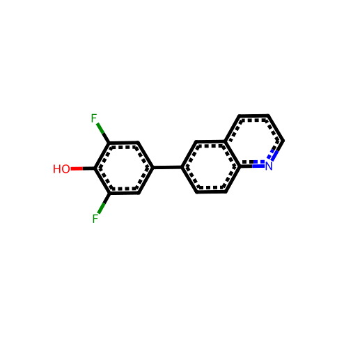 Oc1c(F)cc(-c2ccc3ncccc3c2)cc1F